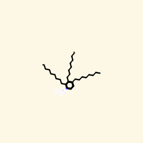 CCCCCCCCCc1ccc(N)c(CCCCCCCCC)c1CCCCCCCCC